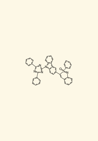 O=S1(c2ccccc2)=Nc2ccccc2C=C1c1ccc2c(c1)c1ccccc1n2-c1nc(-c2ccccc2)nc(-c2ccccc2)n1